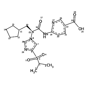 CC(C)S(=O)(=O)c1cn([C@@H](CC2CCCC2)C(=O)Nc2ccc(C(=O)O)cn2)cn1